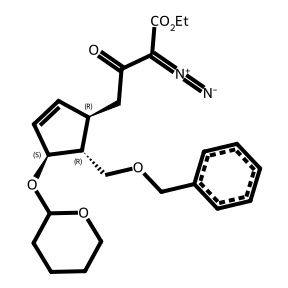 CCOC(=O)C(=[N+]=[N-])C(=O)C[C@@H]1C=C[C@H](OC2CCCCO2)[C@H]1COCc1ccccc1